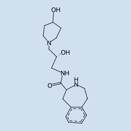 O=C(NC[C@@H](O)CN1CCC(O)CC1)C1Cc2ccccc2CCN1